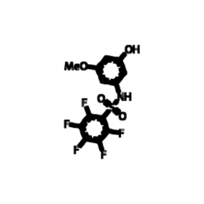 COc1cc(O)cc(NS(=O)(=O)c2c(F)c(F)c(F)c(F)c2F)c1